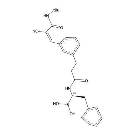 CC(C)(C)NC(=O)C(C#N)=Cc1cccc(CCC(=O)N[C@@H](Cc2ccccc2)B(O)O)c1